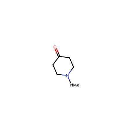 CNN1CCC(=O)CC1